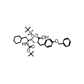 CC(C)(C)OC(=O)N[C@@H](CC1CCCCC1)[C@H](C[C@@H](Cc1ccc(OCc2ccccc2)cc1)C(=O)O)O[Si](C)(C)C(C)(C)C